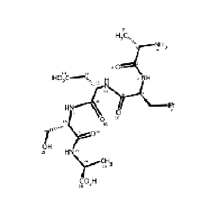 CC(C)C[C@H](NC(=O)[C@H](C)N)C(=O)N[C@@H](CC(=O)O)C(=O)N[C@@H](CO)C(=O)N[C@@H](C)C(=O)O